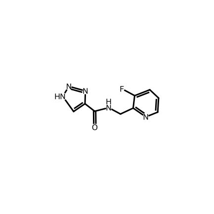 O=C(NCc1ncccc1F)c1c[nH]nn1